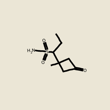 CCC(C1(C)CC(=O)C1)S(N)(=O)=O